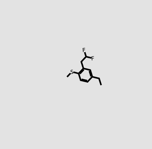 CCc1ccc(SC)c(CC(F)F)c1